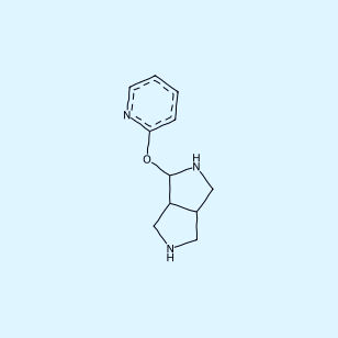 c1ccc(OC2NCC3CNCC32)nc1